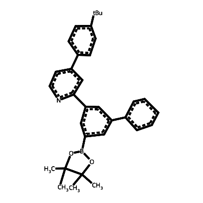 CC(C)(C)c1ccc(-c2ccnc(-c3cc(B4OC(C)(C)C(C)(C)O4)cc(-c4ccccc4)c3)c2)cc1